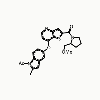 COCC1CCCN1C(=O)c1cc2nccc(Oc3ccc4c(c3)cc(C)n4C(C)=O)c2s1